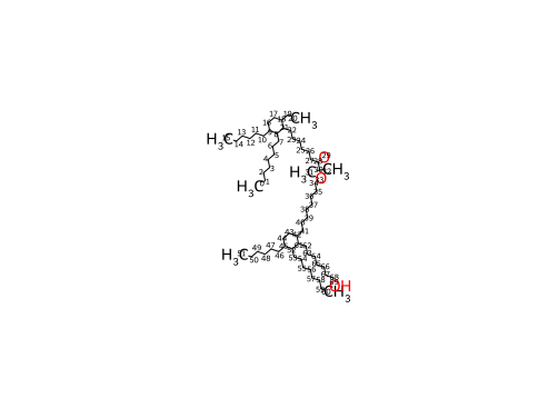 CCCCCCCCC1C(CCCCCC)CCC(CC)C1CCCCCCC(=O)C(C)(C)OCCCCCCCCC1CCC(CCCCCC)C(CCCCCCCC)C1CCCCCCCO